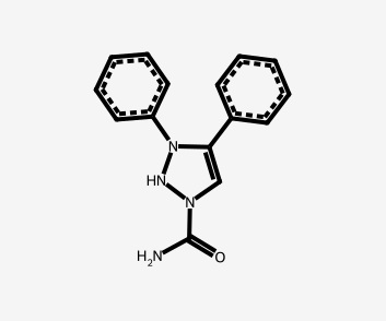 NC(=O)N1C=C(c2ccccc2)N(c2ccccc2)N1